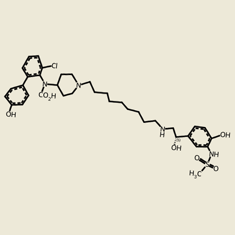 CS(=O)(=O)Nc1cc([C@H](O)CNCCCCCCCCCN2CCC(N(C(=O)O)c3c(Cl)cccc3-c3ccc(O)cc3)CC2)ccc1O